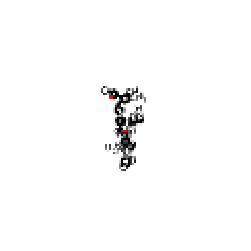 CC1(C)CCC(CN2CCN(c3ccc(C(=O)NS(=O)(=O)c4cc5c(c([N+](=O)[O-])c4)N[C@@H](CN=S4(=O)CCOCC4)CO5)c(Oc4cnc5[nH]ccc5c4)c3)CC2)=C(c2ccc(Cl)cc2)C1